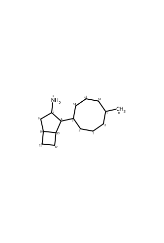 CC1CCCC(C2C(N)CC3CCC32)CCC1